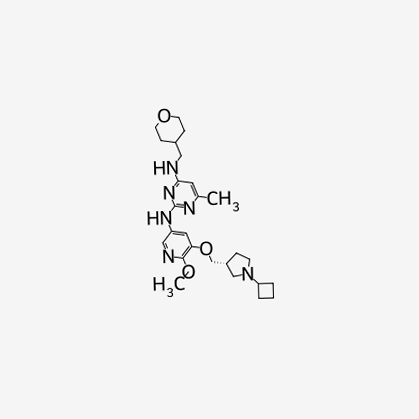 COc1ncc(Nc2nc(C)cc(NCC3CCOCC3)n2)cc1OC[C@@H]1CCN(C2CCC2)C1